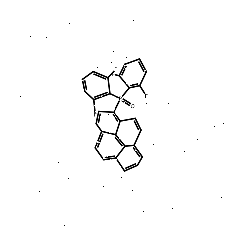 O=P(c1c(F)cccc1F)(c1c(F)cccc1F)c1ccc2ccc3cccc4ccc1c2c34